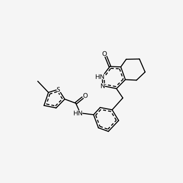 Cc1ccc(C(=O)Nc2cccc(Cc3n[nH]c(=O)c4c3CCCC4)c2)s1